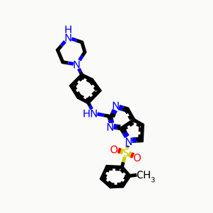 Cc1ccccc1S(=O)(=O)n1ccc2cnc(Nc3ccc(N4CCNCC4)cc3)nc21